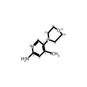 Cc1cc(N)ncc1N1CCOCC1